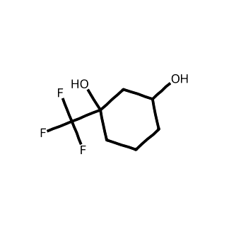 OC1CCCC(O)(C(F)(F)F)C1